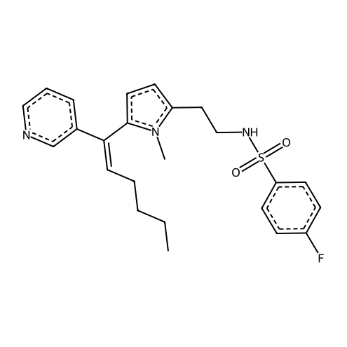 CCCCC=C(c1cccnc1)c1ccc(CCNS(=O)(=O)c2ccc(F)cc2)n1C